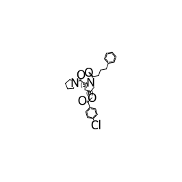 O=C(O[C@@H]1C[C@@H](C(=O)N2CCCC2)N(C(=O)CCCc2ccccc2)C1)c1ccc(Cl)cc1